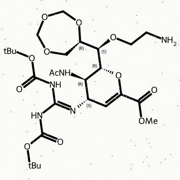 COC(=O)C1=C[C@H](N=C(NC(=O)OC(C)(C)C)NC(=O)OC(C)(C)C)[C@@H](NC(C)=O)[C@H]([C@H](OCCN)[C@H]2COCOCO2)O1